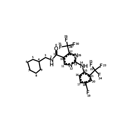 O=C(NCC1CCCCC1)c1cnc(Nc2ccc(F)cc2C(F)(F)F)nc1C(F)(F)F